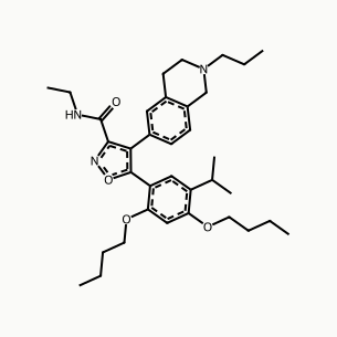 CCCCOc1cc(OCCCC)c(C(C)C)cc1-c1onc(C(=O)NCC)c1-c1ccc2c(c1)CCN(CCC)C2